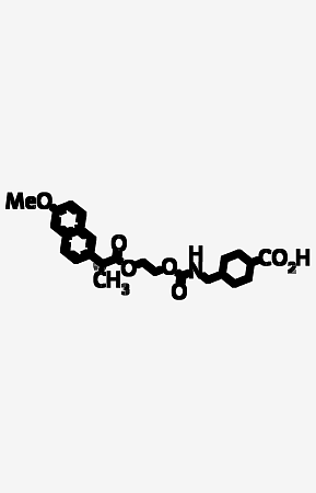 COc1ccc2cc([C@H](C)C(=O)OCCOC(=O)NCC3CCC(C(=O)O)CC3)ccc2c1